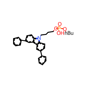 CCCCOP(=O)(O)OCCCCn1c2ccc(-c3ccccc3)cc2c2cc(-c3ccccc3)ccc21